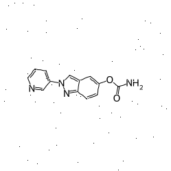 NC(=O)Oc1ccc2nn(-c3cccnc3)cc2c1